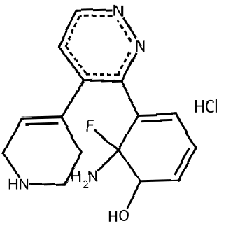 Cl.NC1(F)C(c2nnccc2C2=CCNCC2)=CC=CC1O